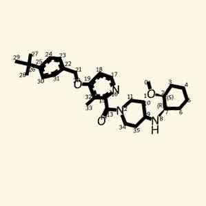 CO[C@H]1CCCC[C@H]1NC1CCN(C(=O)c2nccc(OCc3ccc(C(C)(C)C)cc3)c2C)CC1